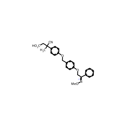 CO/N=C(\COc1ccc(COc2ccc(C(C)(C#N)CC(=O)O)cc2)cc1)c1ccccc1